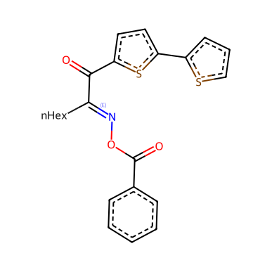 CCCCCC/C(=N\OC(=O)c1ccccc1)C(=O)c1ccc(-c2cccs2)s1